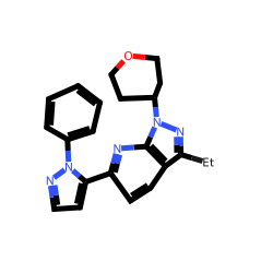 CCc1nn(C2CCOCC2)c2nc(-c3ccnn3-c3ccccc3)ccc12